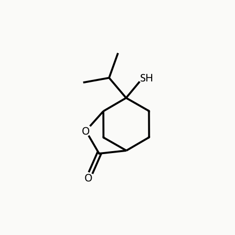 CC(C)C1(S)CCC2CC1OC2=O